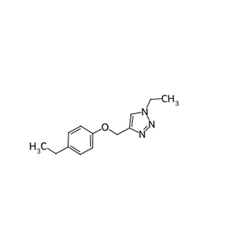 CCc1ccc(OCc2cn(CC)nn2)cc1